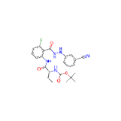 CC[C@H](NC(=O)OC(C)(C)C)C(=O)Nc1cccc(F)c1C(=O)NNc1cccc(C#N)c1